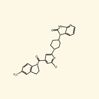 Cc1ccc2c(c1)CCN2C(=O)c1cc(Cl)nc(N2CCC(n3c(=O)[nH]c4ncccc43)CC2)c1